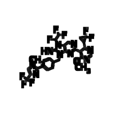 COc1ncnc(C2CC2(F)F)c1-c1ncc2c(n1)n(Cc1ccc(-c3nc(C(F)(F)F)cn3C)cc1)c(=N)n2C(F)C(F)F